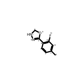 Cc1ccc(C2=NNCO2)c(F)c1